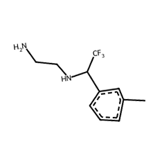 Cc1cccc(C(NCCN)C(F)(F)F)c1